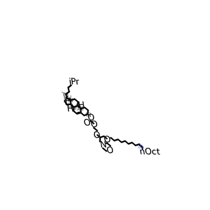 CCCCCCCC/C=C\CCCCCCCCOCC(CN1CCOCC1)OCCOC(=O)O[C@H]1CC[C@@]2(C)C(=CC[C@H]3[C@@H]4CC[C@@H]([C@H](C)CCCC(C)C)[C@@]4(C)CC[C@@H]32)C1